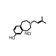 CC(C)=CCN1CCc2ccc(O)cc2CC1.Cl